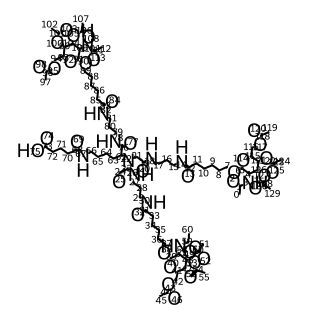 CC(=O)NC1C(OCCCCCC(=O)NCCCNC(=O)CN(C(C=O)NCCCNC(=O)CCCCCOC2OC(COC(C)=O)CC(OC(C)=O)(OC(C)=O)C2NC(C)=O)C(CCCCNC(=O)CCCC(=O)O)C(=O)NCCCNC(=O)CCCCCOC2OC(COC(C)=O)C(OC(C)=O)C(OC(C)=O)C2NC(C)=O)OC(COC(C)=O)C(OC(C)=O)C1OC(C)=O